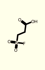 O=C(O)CCS(=O)(=O)F